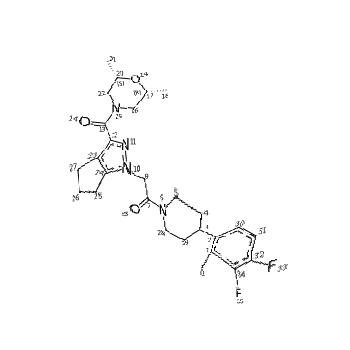 Cc1c(C2CCN(C(=O)Cn3nc(C(=O)N4C[C@@H](C)O[C@@H](C)C4)c4c3CCC4)CC2)ccc(F)c1F